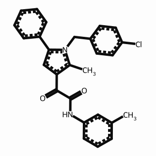 Cc1cccc(NC(=O)C(=O)c2cc(-c3ccccc3)n(Cc3ccc(Cl)cc3)c2C)c1